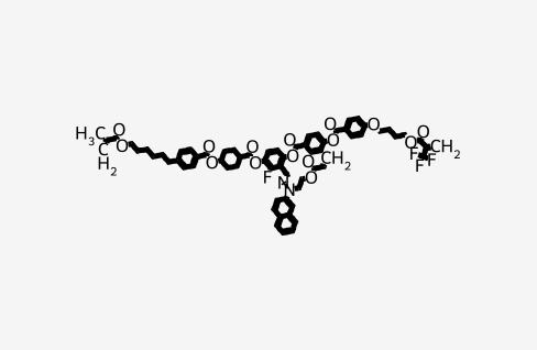 C=CC(=O)OCCN(/N=C/c1c(OC(=O)c2ccc(OC(=O)c3ccc(OCCCCOC(=O)C(=C)C(F)(F)F)cc3)cc2)ccc(OC(=O)C2CCC(OC(=O)c3ccc(CCCCCCOC(=O)C(=C)C)cc3)CC2)c1F)c1ccc2ccccc2c1